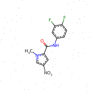 Cn1cc([N+](=O)[O-])cc1C(=O)Nc1ccc(F)c(F)c1